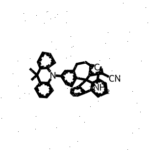 CC1(C)c2ccccc2N(c2ccc3c(c2)CCc2ccc(C#N)c(N)c2C32c3ccccc3-c3ccccc32)c2ccccc21